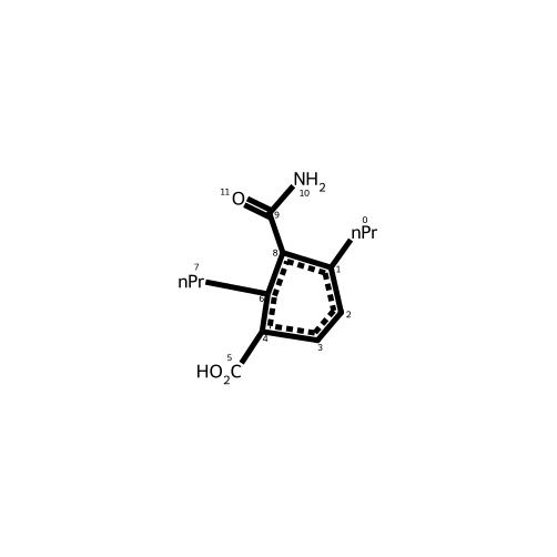 CCCc1ccc(C(=O)O)c(CCC)c1C(N)=O